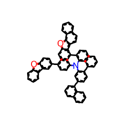 c1ccc(-c2ccc(-c3cccc4ccccc34)cc2N(c2ccc(-c3ccc4oc5ccccc5c4c3)cc2)c2ccccc2-c2cccc3oc4c5ccccc5ccc4c23)cc1